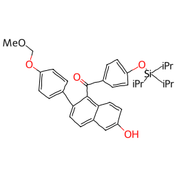 COCOc1ccc(-c2ccc3cc(O)ccc3c2C(=O)c2ccc(O[Si](C(C)C)(C(C)C)C(C)C)cc2)cc1